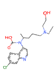 CCN(CCO)CCCC(C)N(C(=O)O)c1ccnc2cc(Cl)ccc12